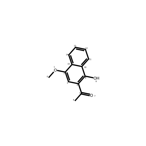 COc1cc(C(C)=O)c(O)c2ccccc12